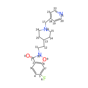 O=c1c2ccc(F)cc2on1CCC1CCN(Cc2ccncc2)CC1